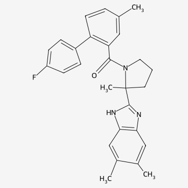 Cc1ccc(-c2ccc(F)cc2)c(C(=O)N2CCCC2(C)c2nc3cc(C)c(C)cc3[nH]2)c1